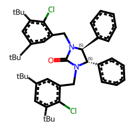 CC(C)(C)c1cc(CN2C(=O)N(Cc3cc(C(C)(C)C)cc(C(C)(C)C)c3Cl)[C@@H](c3ccccc3)[C@@H]2c2ccccc2)c(Cl)c(C(C)(C)C)c1